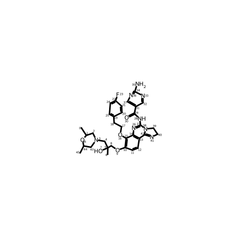 CC1CN(CC(C)(O)COc2ccc3c(c2OCCc2ccc(F)cc2)N=C(NC(=O)c2cnc(N)nc2)N2CCN=C32)CC(C)O1